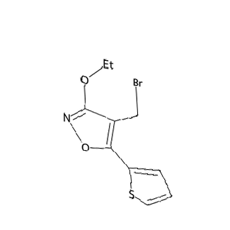 CCOc1noc(-c2cccs2)c1CBr